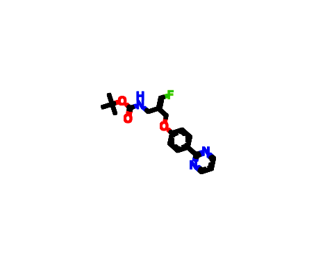 CC(C)(C)OC(=O)NC/C(=C/F)COc1ccc(-c2ncccn2)cc1